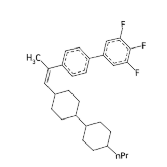 CCCC1CCC(C2CCC(C=C(C)c3ccc(-c4cc(F)c(F)c(F)c4)cc3)CC2)CC1